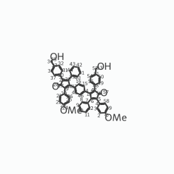 COc1ccc(C2=C(c3ccccc3)C(c3ccc(C4=C(c5ccc(OC)cc5)C(=O)C(c5ccc(CO)cc5)=C4c4ccccc4)cc3)=C(c3ccc(CO)cc3)C2=O)cc1